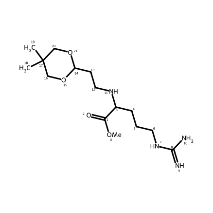 COC(=O)C(CCCNC(=N)N)NCCC1OCC(C)(C)CO1